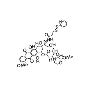 COc1cccc2c1C(=O)c1c(O)c3c(c(O)c1C2=O)C[C@@](O)(/C(CO)=N/NC(=O)CCSSc1ccccn1)C[C@@H]3O[C@H]1C[C@H]2[C@H](O[C@@H]3[C@@H](OC)OCCN32)[C@H](C)O1